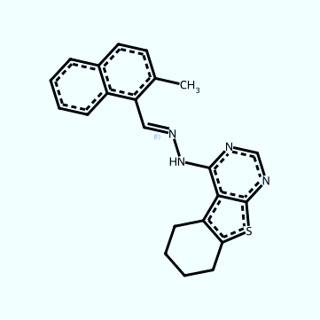 Cc1ccc2ccccc2c1/C=N/Nc1ncnc2sc3c(c12)CCCC3